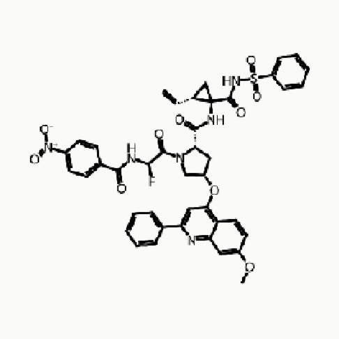 C=C[C@@H]1C[C@]1(NC(=O)[C@@H]1C[C@@H](Oc2cc(-c3ccccc3)nc3cc(OC)ccc23)CN1C(=O)C(F)NC(=O)c1ccc([N+](=O)[O-])cc1)C(=O)NS(=O)(=O)c1ccccc1